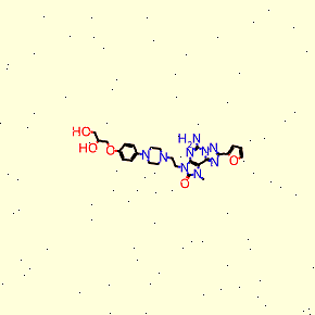 Cn1c(=O)n(CCN2CCN(c3ccc(OCC(O)CO)cc3)CC2)c2nc(N)n3nc(-c4ccco4)nc3c21